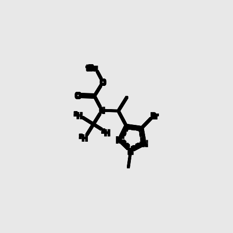 [2H]C([2H])([2H])N(C(=O)OC(C)(C)C)C(C)c1nn(C)nc1Br